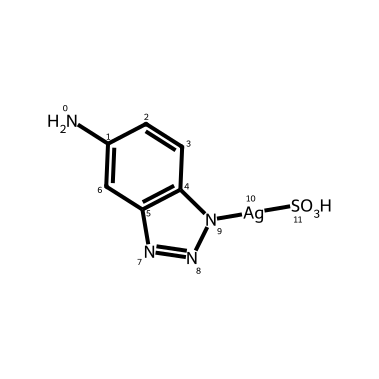 Nc1ccc2c(c1)nn[n]2[Ag][S](=O)(=O)O